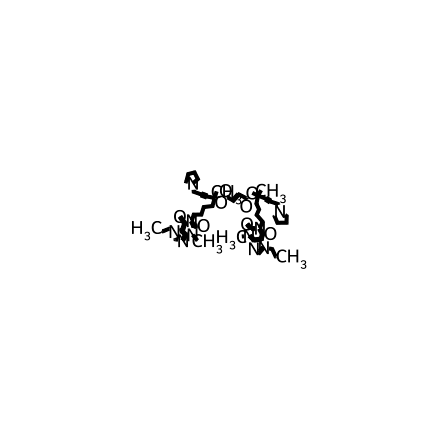 CCCn1cnc2c1c(=O)n(CCCCC(C)(C#CCN1CCCC1)OC(=O)/C=C/C(=O)OC(C)(C#CCN1CCCC1)CCCCn1c(=O)c3c(ncn3CCC)n(C)c1=O)c(=O)n2C